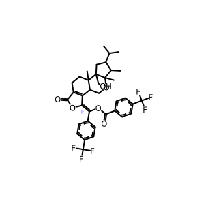 CC(C)C1CC2(CO)C3(C)CCC4=C(/C(=C(\OC(=O)c5ccc(C(F)(F)F)cc5)c5ccc(C(F)(F)F)cc5)OC4=O)C3COC2(C)C1C